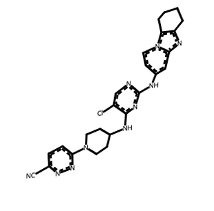 N#Cc1ccc(N2CCC(Nc3nc(Nc4ccn5c6c(nc5c4)CCCC6)ncc3Cl)CC2)nn1